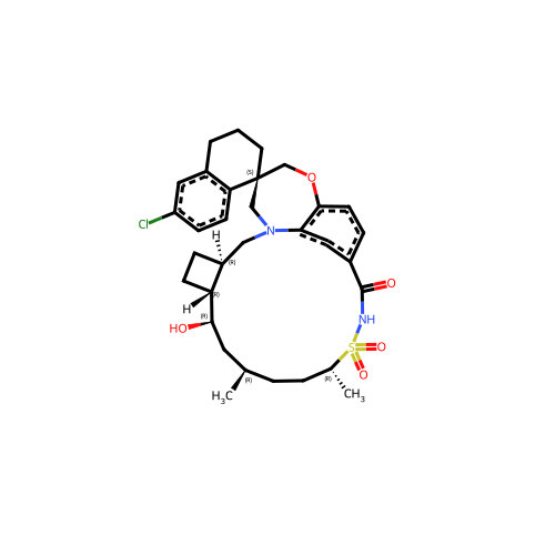 C[C@@H]1CC[C@@H](C)S(=O)(=O)NC(=O)c2ccc3c(c2)N(C[C@@H]2CC[C@H]2[C@H](O)C1)C[C@@]1(CCCc2cc(Cl)ccc21)CO3